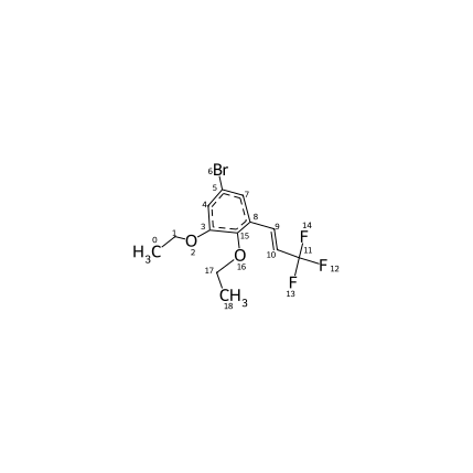 CCOc1cc(Br)cc(/C=C/C(F)(F)F)c1OCC